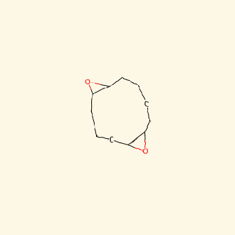 C1CCC2OC2CCCC2OC2C1